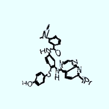 CC(C)c1ccc2c(Nc3cc(NC(=O)c4cccc(N(C)C)c4)ccc3Sc3ccc(O)cc3)ncnc2n1